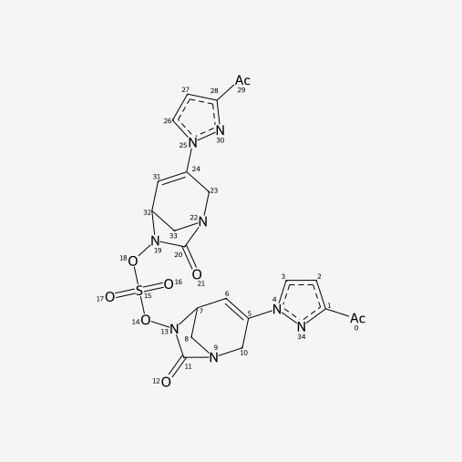 CC(=O)c1ccn(C2=CC3CN(C2)C(=O)N3OS(=O)(=O)ON2C(=O)N3CC(n4ccc(C(C)=O)n4)=CC2C3)n1